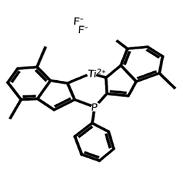 Cc1ccc(C)c2c1C=C1[CH]2[Ti+2][CH]2C(=Cc3c(C)ccc(C)c32)P1c1ccccc1.[F-].[F-]